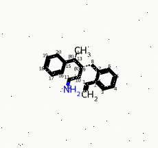 C=Cc1ccccc1C[C@H](CCN)[C@@H](C)C1C=CC=CC1